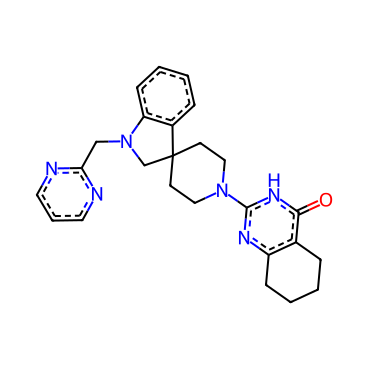 O=c1[nH]c(N2CCC3(CC2)CN(Cc2ncccn2)c2ccccc23)nc2c1CCCC2